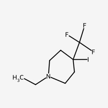 CCN1CCC(I)(C(F)(F)F)CC1